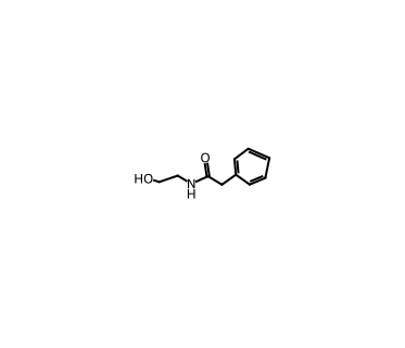 O=C(Cc1ccccc1)NCCO